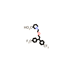 O=C(O)C1CCCN(CCOCCC(c2ccc(C(F)(F)F)cc2)c2ccc(C(F)(F)F)cc2)C1